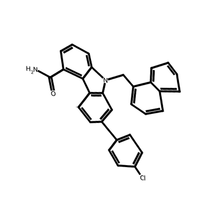 NC(=O)c1cccc2c1c1[c]cc(-c3ccc(Cl)cc3)cc1n2Cc1cccc2ccccc12